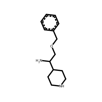 NC(COCc1ccccc1)C1CCNCC1